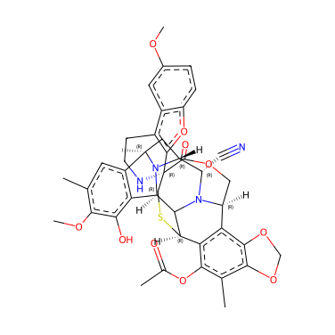 COc1ccc2oc3c(c2c1)CCN[C@]31CS[C@@H]2c3c(OC(C)=O)c(C)c4c(c3[C@H](COC1=O)N1C2[C@H]2c3c(cc(C)c(OC)c3O)[C@@]3(C)C[C@H]([C@@H]1C#N)N23)OCO4